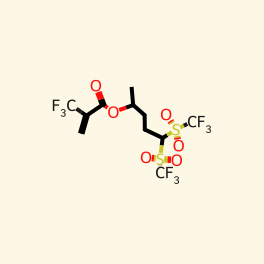 C=C(C(=O)OC(C)CCC(S(=O)(=O)C(F)(F)F)S(=O)(=O)C(F)(F)F)C(F)(F)F